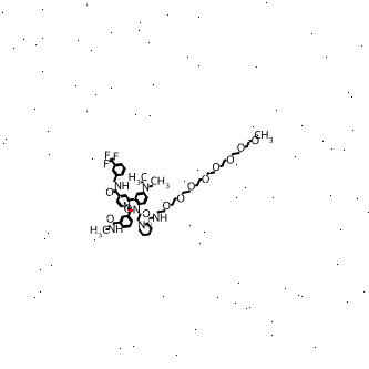 CCN(CC)c1ccc(N(CCN2CCCC[C@H]2C(=O)NCCOCCOCCOCCOCCOCCOCCOCCOC)C(=O)c2cccc(C(=O)NC)c2)c(-c2cc(C(=O)NCc3cccc(C(F)(F)F)c3)ccn2)c1